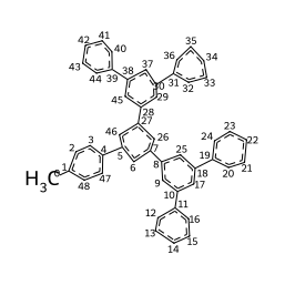 Cc1ccc(-c2cc(-c3cc(-c4ccccc4)cc(-c4ccccc4)c3)cc(-c3cc(-c4ccccc4)cc(-c4ccccc4)c3)c2)cc1